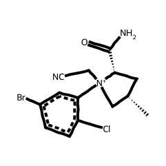 C[C@H]1C[C@@H](C(N)=O)[N+](CC#N)(c2cc(Br)ccc2Cl)C1